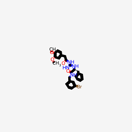 COc1ccc(CC(=O)NC(=N)N[C@H](Cc2ccccc2)C(=O)NCc2cccc(Br)c2)cc1OC